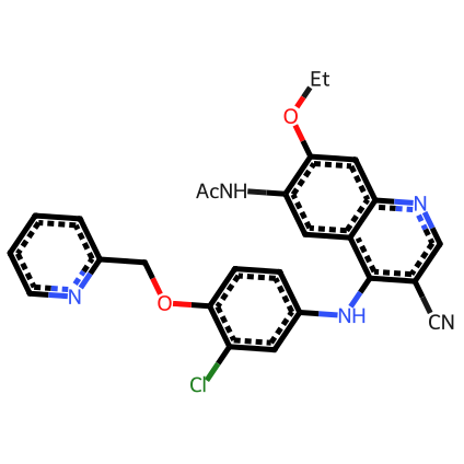 CCOc1cc2ncc(C#N)c(Nc3ccc(OCc4ccccn4)c(Cl)c3)c2cc1NC(C)=O